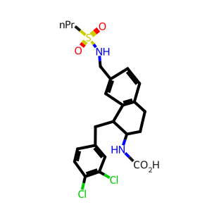 CCCS(=O)(=O)NCc1ccc2c(c1)C(Cc1ccc(Cl)c(Cl)c1)C(NC(=O)O)CC2